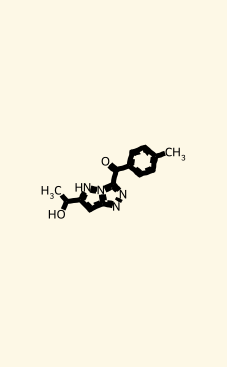 Cc1ccc(C(=O)c2nnc3cc(C(C)O)[nH]n23)cc1